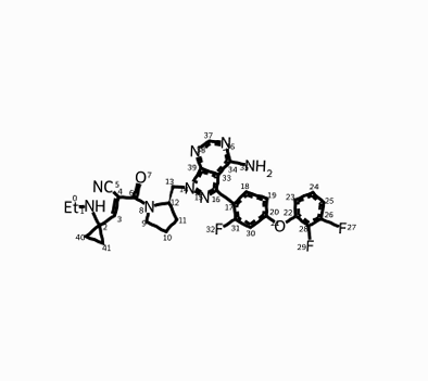 CCNC1(C=C(C#N)C(=O)N2CCC[C@@H]2Cn2nc(-c3ccc(Oc4cccc(F)c4F)cc3F)c3c(N)ncnc32)CC1